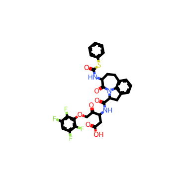 O=C(O)CC(NC(=O)C1Cc2cccc3c2N1C(=O)C(NC(=O)Sc1ccccc1)CC3)C(=O)COc1c(F)c(F)cc(F)c1F